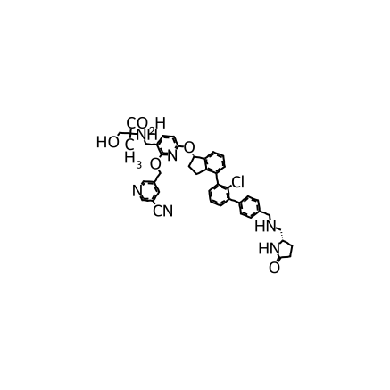 CC(CO)(NCc1ccc(O[C@H]2CCc3c(-c4cccc(-c5ccc(CNC[C@@H]6CCC(=O)N6)cc5)c4Cl)cccc32)nc1OCc1cncc(C#N)c1)C(=O)O